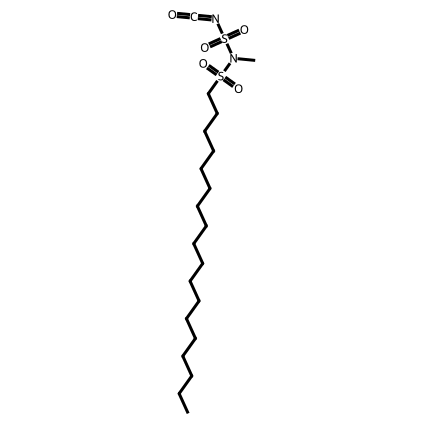 CCCCCCCCCCCCCCCCCCS(=O)(=O)N(C)S(=O)(=O)N=C=O